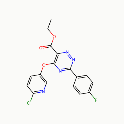 CCOC(=O)c1nnc(-c2ccc(F)cc2)nc1Oc1ccc(Cl)nc1